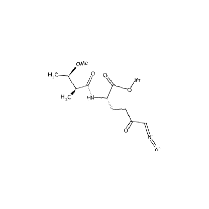 CO[C@H](C)[C@H](C)C(=O)N[C@@H](CCC(=O)C=[N+]=[N-])C(=O)OC(C)C